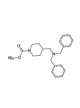 CC(C)(C)OC(=O)N1CCC(CN(Cc2ccccc2)Cc2ccccc2)CC1